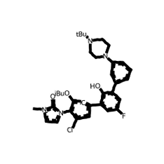 CC(C)COc1cc(-c2cc(F)cc(-c3cccc(N4CCN(C(C)(C)C)CC4)c3)c2O)cc(Cl)c1-n1ccn(C)c1=O